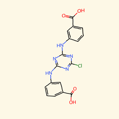 O=C(O)c1cccc(Nc2nc(Cl)nc(Nc3cccc(C(=O)O)c3)n2)c1